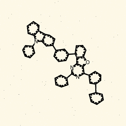 c1ccc(-c2cccc(-c3nc(-c4ccccc4)nc4c3oc3cccc(-c5cccc(-c6ccc7c8ccccc8n(-c8ccccc8)c7c6)c5)c34)c2)cc1